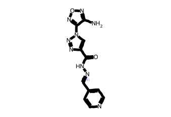 Nc1nonc1-n1cc(C(=O)N/N=C/c2ccncc2)nn1